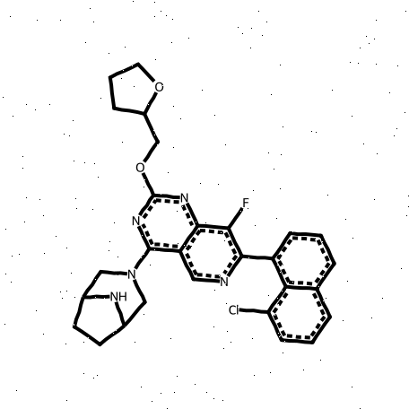 Fc1c(-c2cccc3cccc(Cl)c23)ncc2c(N3CC4CCC(C3)N4)nc(OCC3CCCO3)nc12